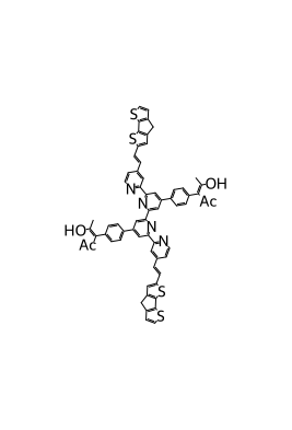 CC(=O)/C(=C(/C)O)c1ccc(-c2cc(-c3cc(/C=C/c4cc5c(s4)-c4sccc4C5)ccn3)nc(-c3cc(-c4ccc(/C(C(C)=O)=C(\C)O)cc4)cc(-c4cc(/C=C/c5cc6c(s5)-c5sccc5C6)ccn4)n3)c2)cc1